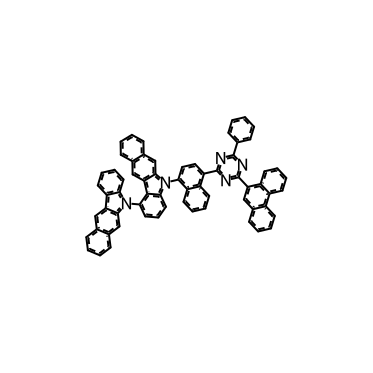 c1ccc(-c2nc(-c3ccc(-n4c5cc6ccccc6cc5c5c(-n6c7ccccc7c7cc8ccccc8cc76)cccc54)c4ccccc34)nc(-c3cc4ccccc4c4ccccc34)n2)cc1